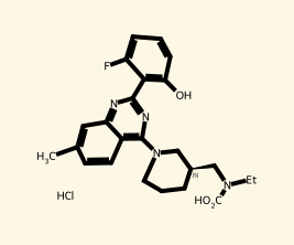 CCN(C[C@H]1CCCN(c2nc(-c3c(O)cccc3F)nc3cc(C)ccc23)C1)C(=O)O.Cl